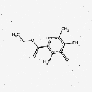 CCOC(=O)c1[nH]c(C)c(C)c(=O)c1C